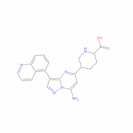 C=C(O)C1CCC(c2cc(N)n3ncc(-c4cccc5ncccc45)c3n2)CN1